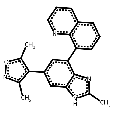 Cc1nc2c(-c3cccc4cccnc34)cc(-c3c(C)noc3C)cc2[nH]1